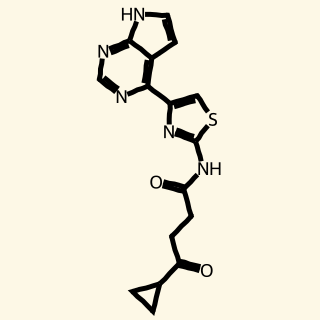 O=C(CCC(=O)C1CC1)Nc1nc(-c2ncnc3[nH]ccc23)cs1